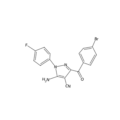 N#Cc1c(C(=O)c2ccc(Br)cc2)nn(-c2ccc(F)cc2)c1N